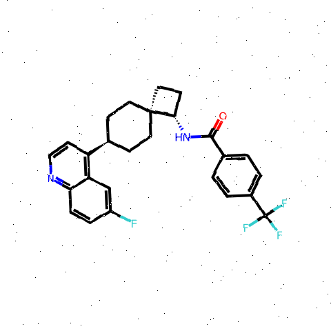 O=C(N[C@H]1CC[C@]12CC[C@H](c1ccnc3ccc(F)cc31)CC2)c1ccc(C(F)(F)F)cc1